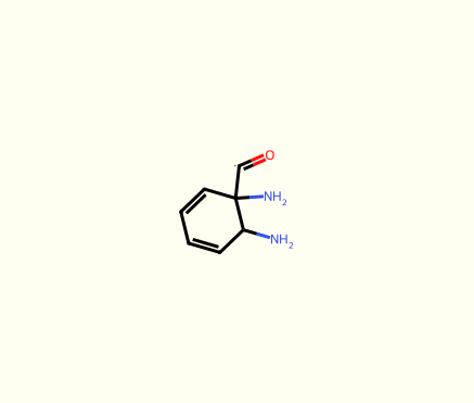 NC1C=CC=CC1(N)[C]=O